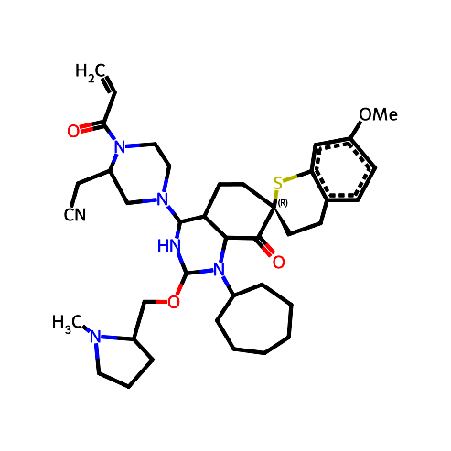 C=CC(=O)N1CCN(C2NC(OCC3CCCN3C)N(C3CCCCCC3)C3C(=O)[C@]4(CCc5ccc(OC)cc5S4)CCC23)CC1CC#N